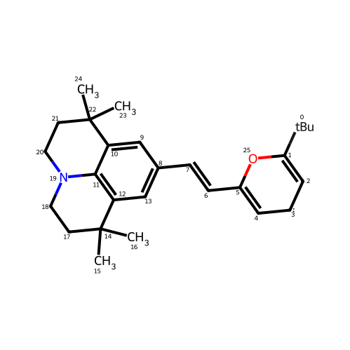 CC(C)(C)C1=C[C]C=C(C=Cc2cc3c4c(c2)C(C)(C)CCN4CCC3(C)C)O1